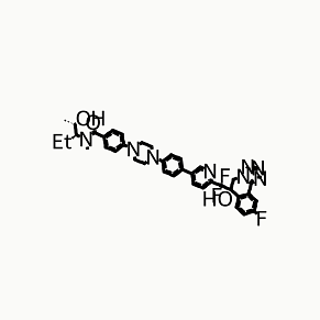 CC[C@@H]([C@H](C)O)N(C)C(=O)c1ccc(N2CCN(c3ccc(-c4ccc(C(F)(F)[C@]5(O)Cn6nnnc6-c6cc(F)ccc65)nc4)cc3)CC2)cc1